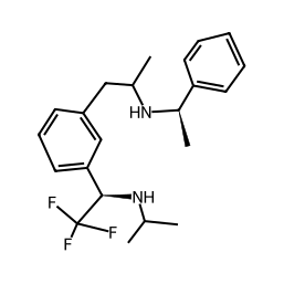 CC(C)N[C@H](c1cccc(CC(C)N[C@H](C)c2ccccc2)c1)C(F)(F)F